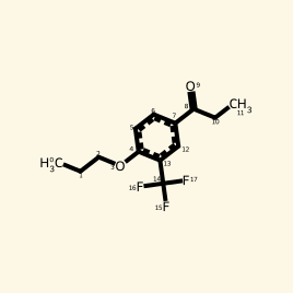 CCCOc1ccc(C(=O)CC)cc1C(F)(F)F